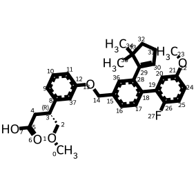 COC[C@H](CC(=O)O)c1cccc(OCc2ccc(-c3cc(OC)ccc3F)c(C3=CCCC3(C)C)c2)c1